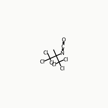 CC(N=C=O)(C(Cl)(Cl)Cl)C(Cl)(Cl)Cl